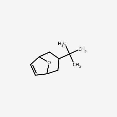 CC(C)(C)C1CC2C=CC(C1)O2